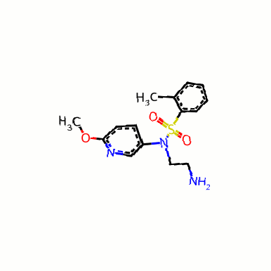 COc1ccc(N(CCN)S(=O)(=O)c2ccccc2C)cn1